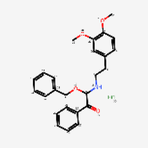 COc1ccc(CCNC(OCc2ccccc2)C(=O)c2ccccc2)cc1OC.Cl